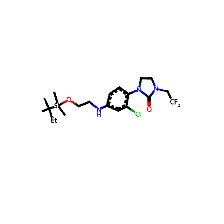 CCC(C)(C)[Si](C)(C)OCCNc1ccc(N2CCN(CC(F)(F)F)C2=O)c(Cl)c1